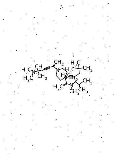 BC1(C(=C)N(C)C(C(=C)CC(C)(C)C)C(C)C)CCN(C(=C)C#CC(C)(C)N(C)C)CC1